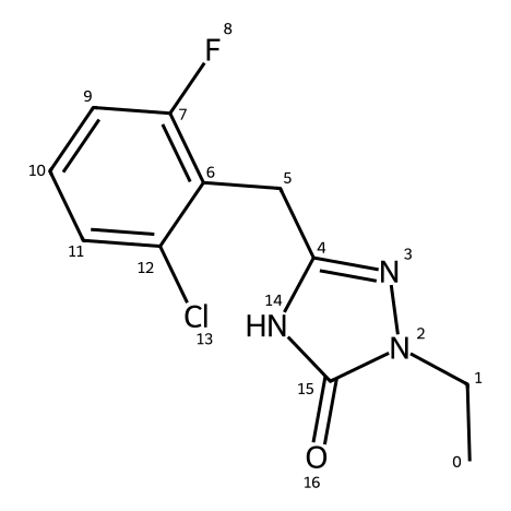 CCn1nc(Cc2c(F)cccc2Cl)[nH]c1=O